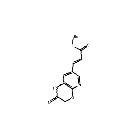 CC(C)(C)OC(=O)C=Cc1cnc2c(c1)NC(=O)CO2